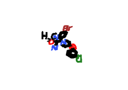 Cn1c(=O)c(C#N)c(N2CCC(Oc3cccc(Cl)c3)CC2)c2ccc(Br)cc21